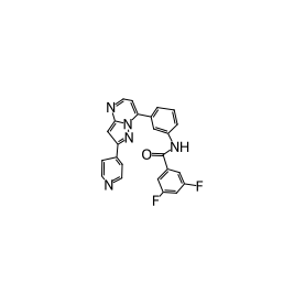 O=C(Nc1cccc(-c2ccnc3cc(-c4ccncc4)nn23)c1)c1cc(F)cc(F)c1